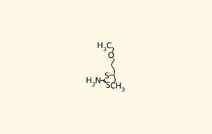 CCOCCCC(CC)SC(N)=S